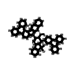 CCC1C(n2c3cc4ccccc4cc3c3c4c5ccccc5c5ccccc5c4ccc32)=NC2=C(C1c1ccc3c4ccccc4c4ccccc4c3c1)C(C)(C)c1ccccc12